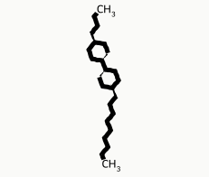 CCCCCCCCC[C@H]1CC[C@H]([C@H]2CC[C@H](CCCC)CC2)CC1